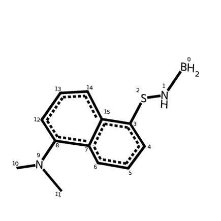 BNSc1cccc2c(N(C)C)cccc12